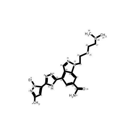 CCn1nc(C)cc1-c1nnc(-c2cc(C(N)=O)cc3c2cnn3CCOCCN(C)C)[nH]1